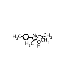 Cc1ccc(-c2nn(CC(C)C)c(O)c2C)cc1